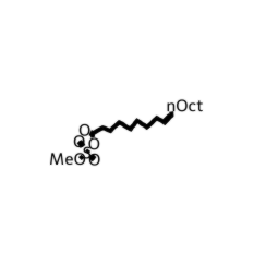 CCCCCCCC/C=C\CCCCCCCC(=O)OS(=O)(=O)OC